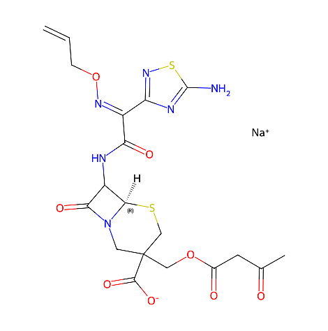 C=CCON=C(C(=O)NC1C(=O)N2CC(COC(=O)CC(C)=O)(C(=O)[O-])CS[C@H]12)c1nsc(N)n1.[Na+]